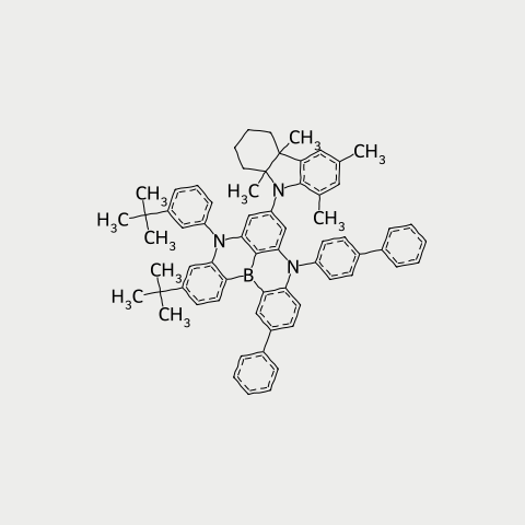 Cc1cc(C)c2c(c1)C1(C)CCCCC1(C)N2c1cc2c3c(c1)N(c1cccc(C(C)(C)C)c1)c1cc(C(C)(C)C)ccc1B3c1cc(-c3ccccc3)ccc1N2c1ccc(-c2ccccc2)cc1